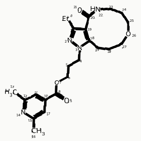 CCc1nn(CCCOC(=O)c2cc(C)nc(C)c2)c2c1C(=O)NCCCOCCC2